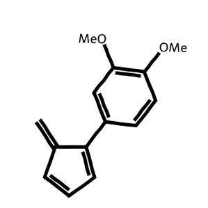 C=C1C=CC=C1c1ccc(OC)c(OC)c1